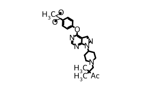 CC(=O)C(C)(C)CN1CCC(n2ncc3c(Oc4ccc(S(C)(=O)=O)cc4)ncnc32)CC1